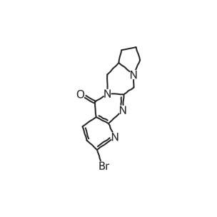 O=c1c2ccc(Br)nc2nc2n1CC1CCCN1C2